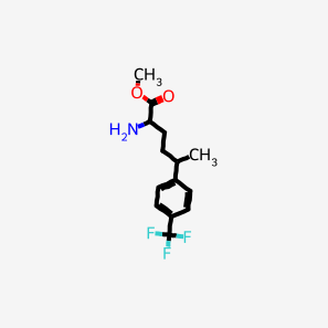 COC(=O)C(N)CCC(C)c1ccc(C(F)(F)F)cc1